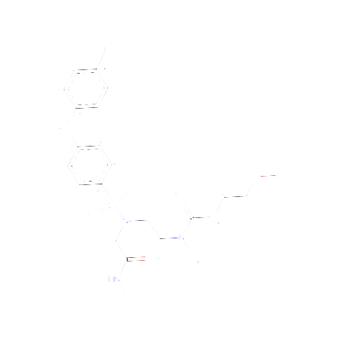 COCCOC(=O)N(C)CCN(CC(=O)NO)S(=O)(=O)c1ccc(Oc2ccc(F)cc2)cc1